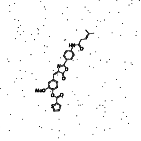 COc1cc(/C=C2/N=C(c3ccc(NC(=O)CC=C(C)C)cc3)OC2=O)ccc1OC(=O)c1cccs1